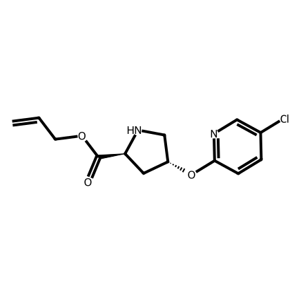 C=CCOC(=O)[C@@H]1C[C@@H](Oc2ccc(Cl)cn2)CN1